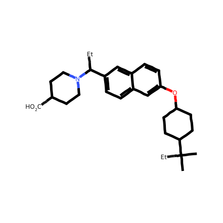 CCC(c1ccc2cc(OC3CCC(C(C)(C)CC)CC3)ccc2c1)N1CCC(C(=O)O)CC1